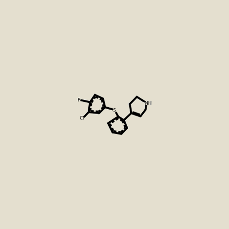 Fc1ccc(Sc2ccccc2C2=CCNCC2)cc1Cl